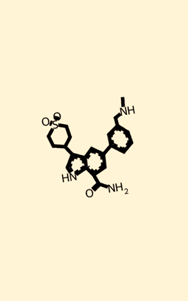 CNCc1cccc(-c2cc(C(N)=O)c3[nH]cc(C4CCS(=O)(=O)CC4)c3c2)c1